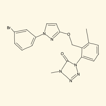 Cc1cccc(-n2nnn(C)c2=O)c1COc1ccn(-c2cccc(Br)c2)n1